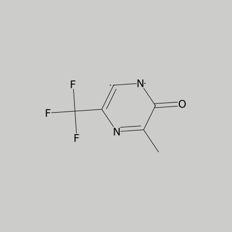 CC1=NC(C(F)(F)F)=[C][N]C1=O